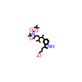 COCCCc1c[nH]c2ccc(C(C)C(CC3COC(C)(C)N3C(=O)OC(C)(C)C)C(C)C)cc12